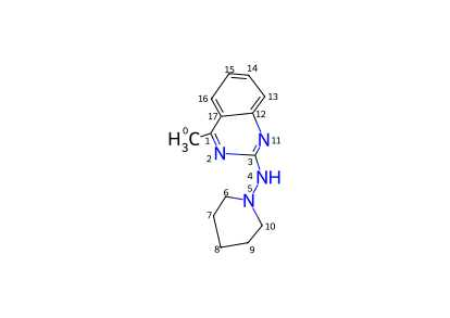 Cc1nc(NN2CCCCC2)nc2ccccc12